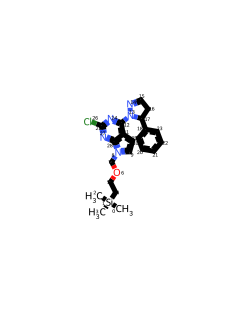 C[Si](C)(C)CCOCn1ccc2c(N3N=CCC3c3ccccc3)nc(Cl)nc21